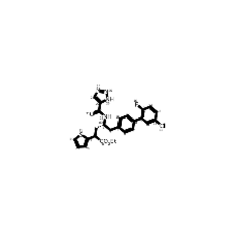 CCOC(=O)C(C[C@@H](Cc1ccc(-c2cc(Cl)ccc2F)cc1)NC(=O)c1cnn[nH]1)c1cccs1